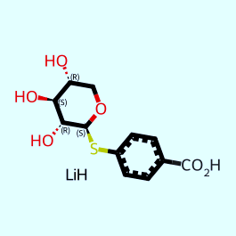 O=C(O)c1ccc(S[C@@H]2OC[C@@H](O)[C@H](O)[C@H]2O)cc1.[LiH]